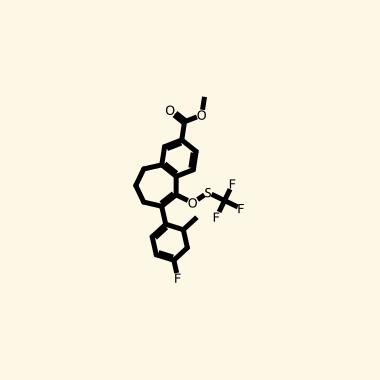 COC(=O)c1ccc2c(c1)CCCC(C1=CC=C(F)CC1C)=C2OSC(F)(F)F